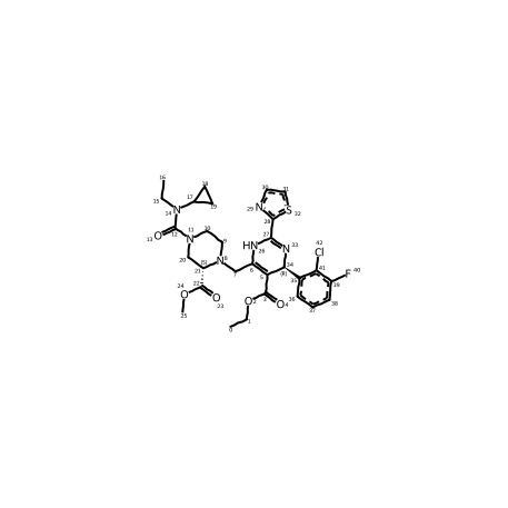 CCOC(=O)C1=C(CN2CCN(C(=O)N(CC)C3CC3)C[C@H]2C(=O)OC)NC(c2nccs2)=N[C@H]1c1cccc(F)c1Cl